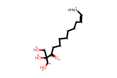 CCCCCC/C=C\CCCCCCCC(=O)C(O)(CO)CO